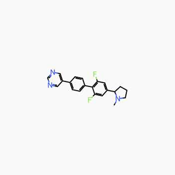 CN1CCCC1c1cc(F)c(-c2ccc(-c3cncnc3)cc2)c(F)c1